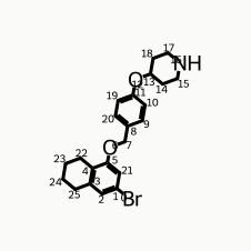 Brc1cc2c(c(OCc3ccc(OC4CCNCC4)cc3)c1)CCCC2